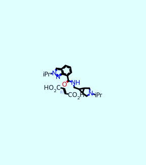 CC(C)N1CC2C(CNC(=O)c3cccc4cn(C(C)C)nc34)C2C1.O=C(O)/C=C/C(=O)O